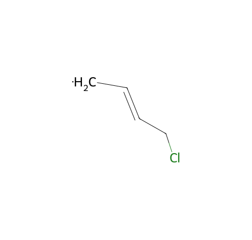 [CH2]C=CCCl